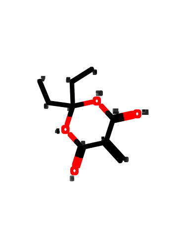 C=C1C(=O)OC(CC)(CC)OC1=O